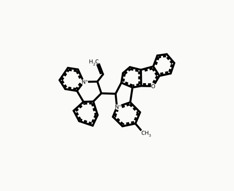 C=CC1C(C2c3ccc4c(oc5ccccc54)c3-c3cc(C)cc[n+]32)c2ccccc2-c2cccc[n+]21